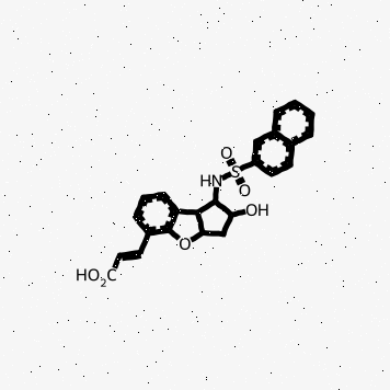 O=C(O)/C=C/c1cccc2c1OC1CC(O)C(NS(=O)(=O)c3ccc4ccccc4c3)C21